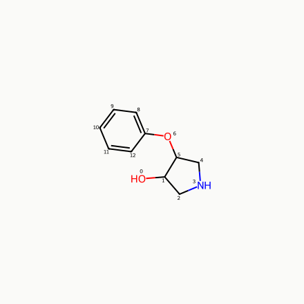 OC1CNCC1Oc1ccccc1